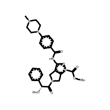 CO[C@@H](C(=O)N1Cc2c(NC(=O)c3ccc(N4CCN(C)CC4)cc3)nn(C(=O)OC(C)(C)C)c2C1)c1ccccc1